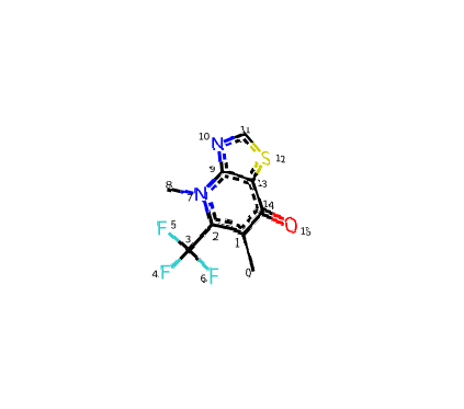 Cc1c(C(F)(F)F)n(C)c2ncsc2c1=O